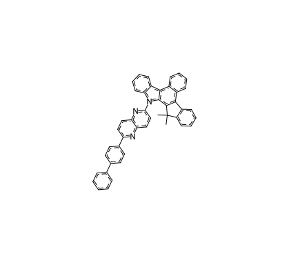 CC1(C)c2ccccc2-c2c1c1c(c3ccccc23)c2ccccc2n1-c1ccc2nc(-c3ccc(-c4ccccc4)cc3)ccc2n1